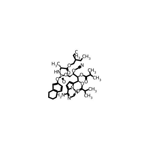 CCC(CC)COC(=O)[C@H](C)NP(=O)(OC[C@@H](OC#N)[C@@H](OC(=O)C(C)C)[C@@H](OC(=O)C(C)C)c1ccc2c(N)ncnn12)Oc1ccc2c(c1)CCCC2